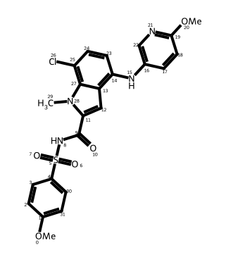 COc1ccc(S(=O)(=O)NC(=O)c2cc3c(Nc4ccc(OC)nc4)ccc(Cl)c3n2C)cc1